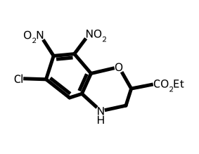 CCOC(=O)C1CNc2cc(Cl)c([N+](=O)[O-])c([N+](=O)[O-])c2O1